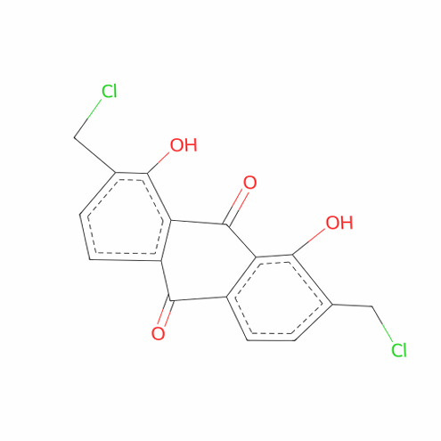 O=C1c2ccc(CCl)c(O)c2C(=O)c2c1ccc(CCl)c2O